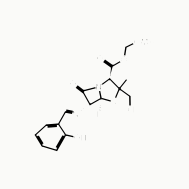 COCOC(=O)[C@@H]1N2C(=O)[C@@H](N=Cc3ccccc3O)[C@@H]2SC1(C)CCl